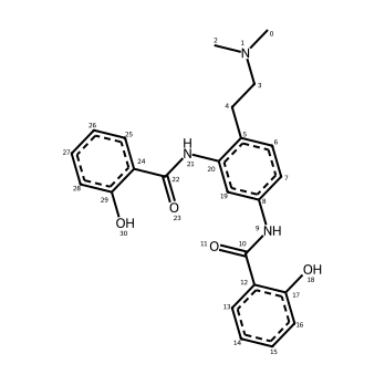 CN(C)CCc1ccc(NC(=O)c2ccccc2O)cc1NC(=O)c1ccccc1O